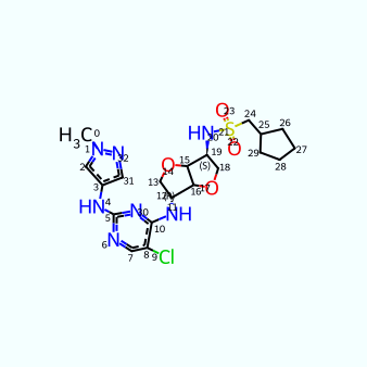 Cn1cc(Nc2ncc(Cl)c(N[C@@H]3COC4C3OC[C@@H]4NS(=O)(=O)CC3CCCC3)n2)cn1